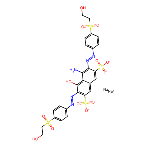 Nc1c(/N=N/c2ccc(S(=O)(=O)CCO)cc2)c(S(=O)(=O)[O-])cc2cc(S(=O)(=O)[O-])c(/N=N/c3ccc(S(=O)(=O)CCO)cc3)c(O)c12.[Na+].[Na+]